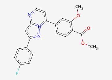 COC(=O)c1ccc(-c2ccnc3cc(-c4ccc(F)cc4)nn23)cc1OC